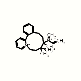 C=C[N+](=C)C1(C)CCc2ccccc2-c2cccc[n+]2CCC1(C)C